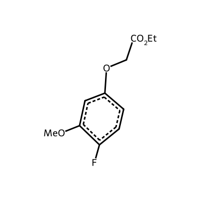 CCOC(=O)COc1ccc(F)c(OC)c1